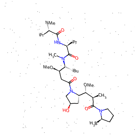 B[C@@H]1CCCN1C(=O)[C@H](C)[C@@H](OC)[C@@H]1C[C@@H](O)CN1C(=O)C[C@@H](OC)[C@H]([C@@H](C)CC)N(C)C(=O)[C@@H](NC(=O)[C@@H](NC)C(C)C)C(C)C